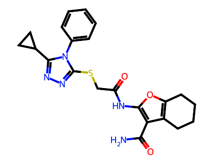 NC(=O)c1c(NC(=O)CSc2nnc(C3CC3)n2-c2ccccc2)oc2c1CCCC2